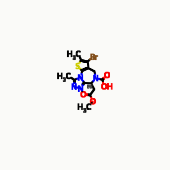 COC(=O)C[C@H]1c2nnc(C)n2-c2sc(C)c(Br)c2CN1C(=O)O